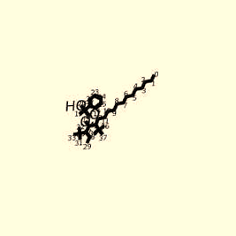 CCCCCCCCCCCCCC(C(OC(=O)C(C)(O)c1ccccc1)C(CC)C(C)(C)C)C(C)(C)C